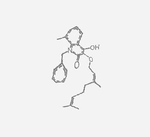 CC(C)=CCCC(C)=CCOc1c(O)c2cccc(C)c2n(Cc2ccccc2)c1=O